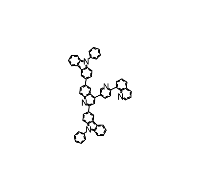 c1ccc(-n2c3ccccc3c3cc(-c4ccc5nc(-c6ccc7c(c6)c6ccccc6n7-c6ccccc6)cc(-c6ccc(-c7cccc8cccnc78)nc6)c5c4)ccc32)cc1